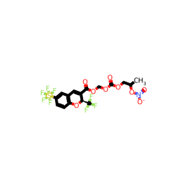 CC(COC(=O)OCOC(=O)C1=Cc2cc(S(F)(F)(F)(F)F)ccc2O[C@@H]1C(F)(F)F)O[N+](=O)[O-]